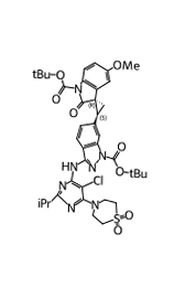 COc1ccc2c(c1)[C@]1(C[C@H]1c1ccc3c(Nc4nc(C(C)C)nc(N5CCS(=O)(=O)CC5)c4Cl)nn(C(=O)OC(C)(C)C)c3c1)C(=O)N2C(=O)OC(C)(C)C